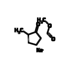 CC1CCCC1=O.COC=O.[Na]